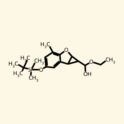 CCOC(O)C1C2Oc3c(C)cc(O[Si](C)(C)C(C)(C)C)cc3C21